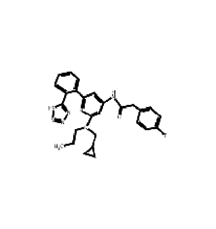 CCCN(CC1CC1)c1cc(NC(=O)Cc2ccc(F)cc2)cc(-c2ccccc2-c2nnn[nH]2)n1